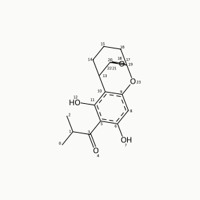 CC(C)C(=O)c1c(O)cc2c(c1O)C1CCCC3(OCCCC13)O2